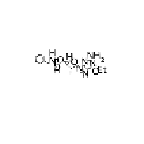 CCOc1nc(N)nc2c1ncn2[C@@H]1O[C@@H]2C(O[PH](=O)NCc3ccccc3)C2[C@@H]1C